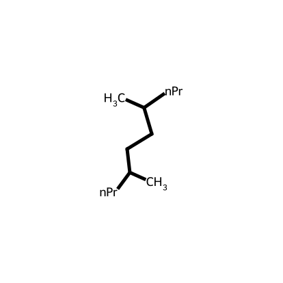 CCCC(C)CCC(C)CCC